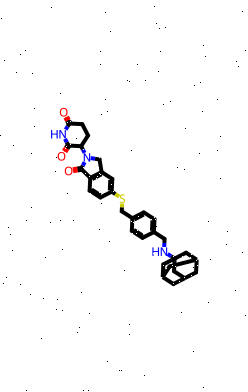 O=C1CCC(N2Cc3cc(SCc4ccc(CNC56CC7CC(CC(C7)C5)C6)cc4)ccc3C2=O)C(=O)N1